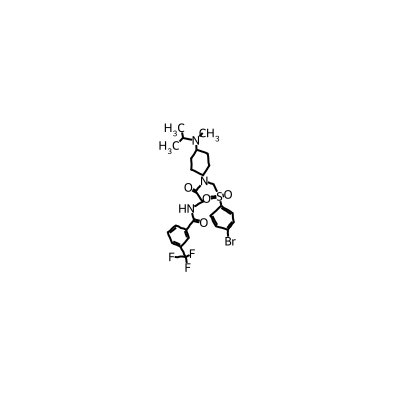 CC(C)N(C)C1CCC(N(CS(=O)(=O)c2ccc(Br)cc2)C(=O)CNC(=O)c2cccc(C(F)(F)F)c2)CC1